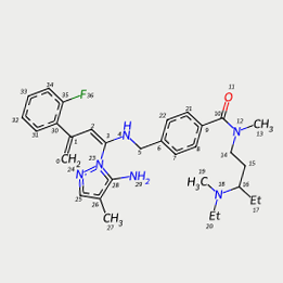 C=C(/C=C(/NCc1ccc(C(=O)N(C)CCC(CC)N(C)CC)cc1)n1ncc(C)c1N)c1ccccc1F